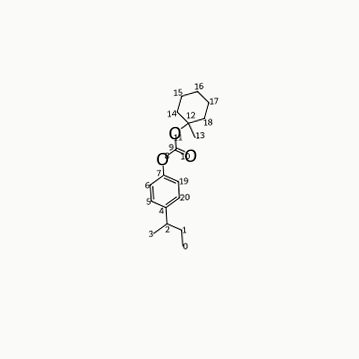 CCC(C)c1ccc(OC(=O)OC2(C)CCCCC2)cc1